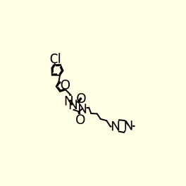 CN1CCN(CCCCCCN2C(=O)CN(N=Cc3ccc(-c4ccc(Cl)cc4)o3)C2=O)CC1